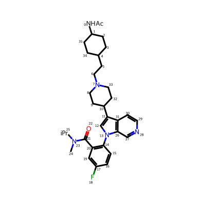 CC(=O)NC1CCC(CCN2CCC(c3cn(-c4ccc(F)cc4C(=O)N(C)C(C)C)c4cnccc34)CC2)CC1